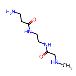 CNCC(=O)NCCNC(=O)CCN